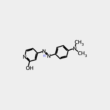 CN(C)c1ccc(/N=N/c2ccnc(O)c2)cc1